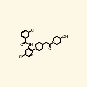 O=C(Nc1cc(Cl)cnc1N1CCC(CC(=O)N2CCC(O)CC2)CC1)c1cccc(Cl)c1